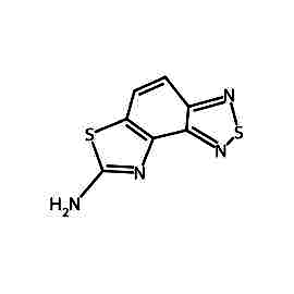 Nc1nc2c(ccc3nsnc32)s1